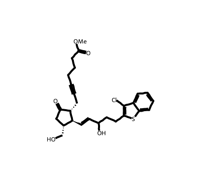 COC(=O)CCCC#CC[C@H]1C(=O)C[C@@H](CO)[C@@H]1/C=C/C(O)CCc1sc2ccccc2c1Cl